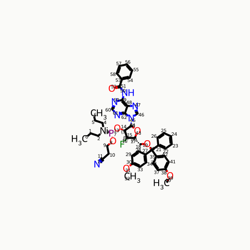 CC[CH2][Ni]([CH2]CC)[P](OCCC#N)O[C@@H]1[C@H](F)[C@@H](COC(c2ccccc2)(c2ccc(OC)cc2)c2ccc(OC)cc2)O[C@H]1n1cnc2c(NC(=O)c3ccccc3)ncnc21